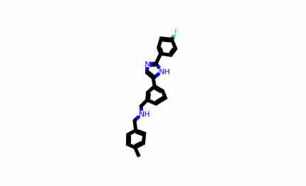 Cc1ccc(CNCc2cccc(-c3cnc(-c4ccc(F)cc4)[nH]3)c2)cc1